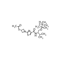 CC(=O)SC1CN(c2nc(C(=O)NC(CO[Si](C)(C)C(C)(C)C)C(C)C)cs2)C1